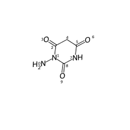 NN1C(=O)CC(=O)NC1=O